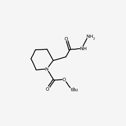 CC(C)(C)OC(=O)N1CCCCC1CC(=O)NN